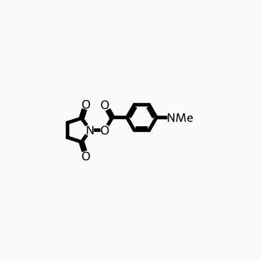 CNc1ccc(C(=O)ON2C(=O)CCC2=O)cc1